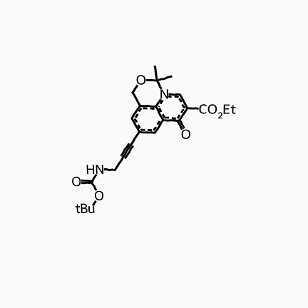 CCOC(=O)c1cn2c3c(cc(C#CCNC(=O)OC(C)(C)C)cc3c1=O)COC2(C)C